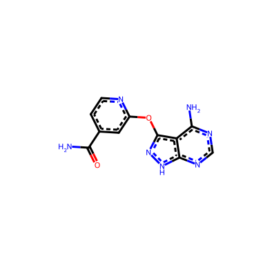 NC(=O)c1ccnc(Oc2n[nH]c3ncnc(N)c23)c1